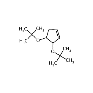 CC(C)(C)OC1C=CCC1OC(C)(C)C